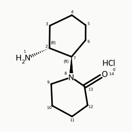 Cl.N[C@@H]1CCCC[C@H]1N1CCCCC1=O